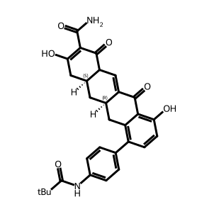 CC(C)(C)C(=O)Nc1ccc(-c2ccc(O)c3c2C[C@H]2C[C@H]4CC(O)=C(C(N)=O)C(=O)C4C=C2C3=O)cc1